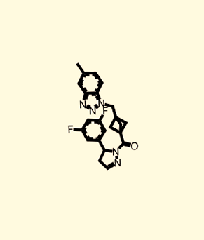 Cc1ccc2c(c1)nnn2CC12CC(C(=O)N3N=CCC3c3cc(F)cc(F)c3)(C1)C2